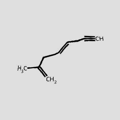 C#CC=CCC(=C)C